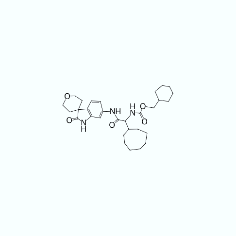 O=C(NC(C(=O)Nc1ccc2c(c1)NC(=O)C21CCOCC1)C1CCCCCCC1)OCC1CCCCC1